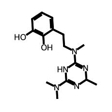 CC1N=C(N(C)C)NC(N(C)CCc2cccc(O)c2O)=N1